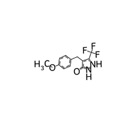 COc1ccc(Cc2c(C(F)(F)F)[nH][nH]c2=O)cc1